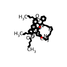 CC=CCCC(=O)Oc1ccccc1C1=CC2=CC3=NC(=CC4=NC(=CC5=NC(=C(c6ccccc6OC(=O)CCC=CC)C1=N2)C(c1ccccc1OC(=O)CCC=CC)=C5c1ccccc1OC(=O)CCC=CC)C=C4)C=C3